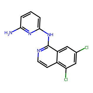 Nc1cccc(Nc2nccc3c(Cl)cc(Cl)cc23)n1